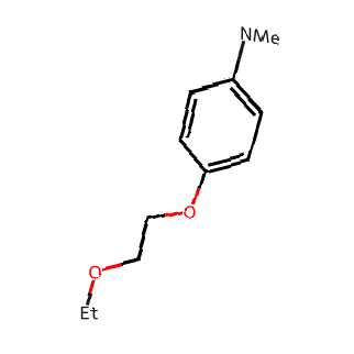 CCOCCOc1ccc(NC)cc1